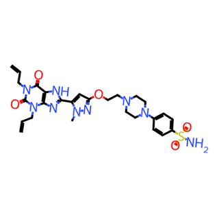 C=CCn1c(=O)c2[nH]c(-c3cc(OCCN4CCN(c5ccc(S(N)(=O)=O)cc5)CC4)nn3C)nc2n(CC=C)c1=O